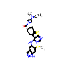 CSc1cc2[nH]ncc2cc1Nc1ncnc2sc3c(c12)CC[C@H](C(=O)N1CC(N(C)C)C1)C3